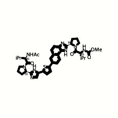 COC(=O)N[C@H](C(=O)N1CCC[C@H]1c1nc2ccc3cc(-c4ccc(-c5cnc([C@@H]6CCCN6C(=O)[C@@H](NC(C)=O)C(C)C)[nH]5)s4)ccc3c2[nH]1)C(C)C